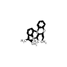 C/C=C1/Oc2ccccc2B2C1=C(C)n1c(C)c(C)c3cccc2c31